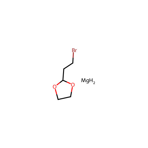 BrCCC1OCCO1.[MgH2]